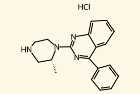 C[C@@H]1CNCCN1c1nc(-c2ccccc2)c2ccccc2n1.Cl